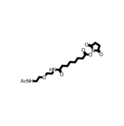 CC(=O)NCCOCCNC(=O)CCCCCCC(=O)ON1C(=O)CCC1=O